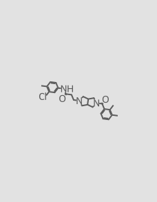 Cc1ccc(NC(=O)CCN2CC3CN(C(=O)c4cccc(C)c4C)CC3C2)cc1Cl